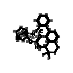 CC1(C)CCc2ccc(-c3ccccc3C(F)(F)F)cc2C1NC(=O)O[C@H]1CN2CCC1CC2